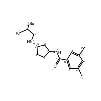 CC(C)(C)C(O)CN[C@H]1CC[C@H](NC(=O)c2cc(F)cc(Cl)c2)C1